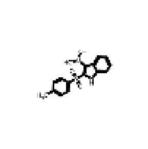 Cc1ccc(S(=O)(=O)c2[nH]c3ccccc3c2B(O)O)cc1